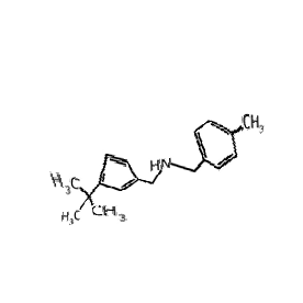 Cc1ccc(CNCc2cccc(C(C)(C)C)c2)cc1